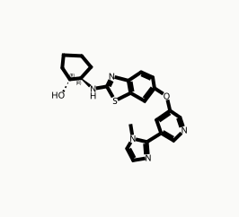 Cn1ccnc1-c1cncc(Oc2ccc3nc(N[C@@H]4CCCC[C@H]4O)sc3c2)c1